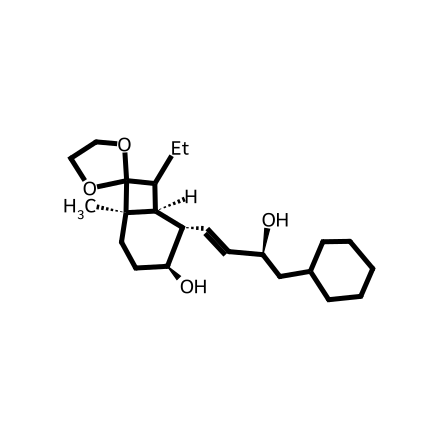 CCC1[C@H]2[C@H](/C=C/[C@@H](O)CC3CCCCC3)[C@@H](O)CC[C@@]2(C)C12OCCO2